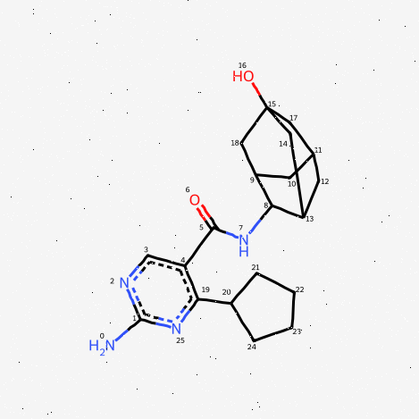 Nc1ncc(C(=O)NC2C3CC4CC2CC(O)(C4)C3)c(C2CCCC2)n1